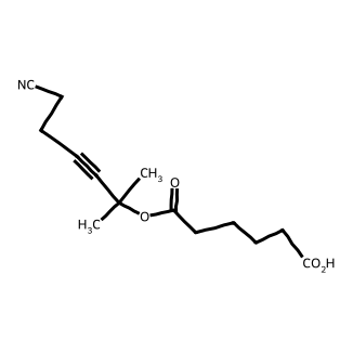 CC(C)(C#CCCC#N)OC(=O)CCCCC(=O)O